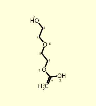 C=C(O)OCCOCCO